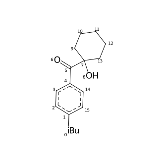 CCC(C)c1ccc(C(=O)C2(O)CCCCC2)cc1